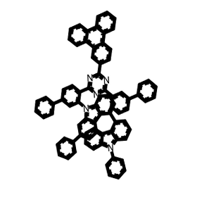 c1ccc(-c2cccc(-c3nc(-c4ccc5c6ccccc6c6ccccc6c5c4)nc(-c4ccc(-c5ccccc5)cc4-n4c5cc(-c6ccccc6)ccc5c5c(-c6cccc7c6c6ccccc6n7-c6ccccc6)cccc54)n3)c2)cc1